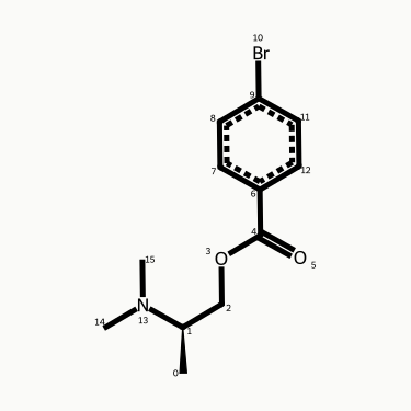 C[C@H](COC(=O)c1ccc(Br)cc1)N(C)C